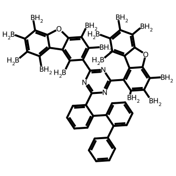 Bc1c(B)c(B)c2c(oc3c(B)c(B)c(-c4nc(-c5ccccc5-c5ccccc5-c5ccccc5)nc(-c5c(B)c(B)c(B)c6oc7c(B)c(B)c(B)c(B)c7c56)n4)c(B)c32)c1B